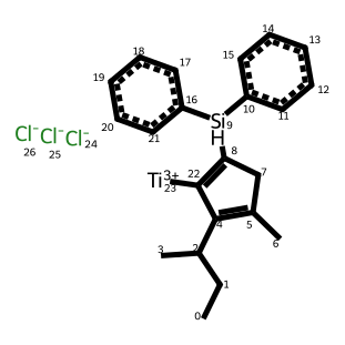 CCC(C)C1=C(C)CC([SiH](c2ccccc2)c2ccccc2)=[C]1[Ti+3].[Cl-].[Cl-].[Cl-]